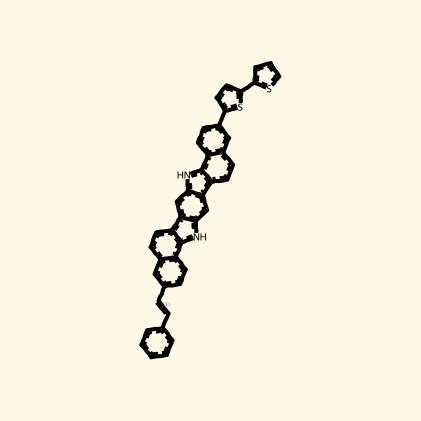 C(=C\c1ccc2c(ccc3c4cc5[nH]c6c7ccc(-c8ccc(-c9cccs9)s8)cc7ccc6c5cc4[nH]c23)c1)/c1ccccc1